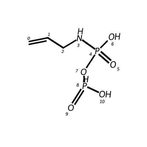 C=CCNP(=O)(O)O[PH](=O)O